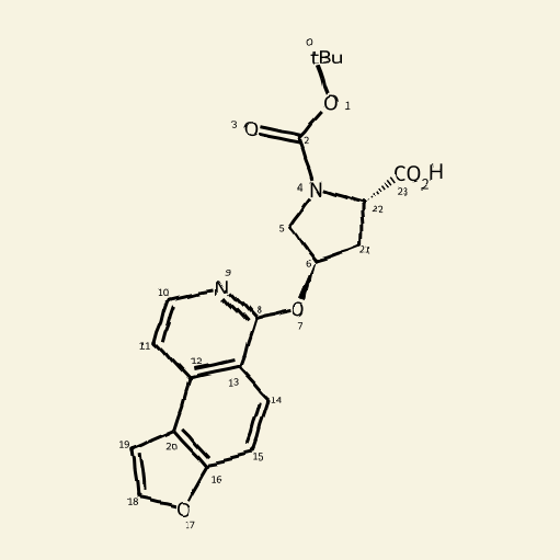 CC(C)(C)OC(=O)N1C[C@H](Oc2nccc3c2ccc2occc23)C[C@H]1C(=O)O